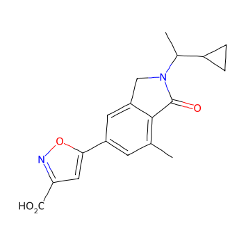 Cc1cc(-c2cc(C(=O)O)no2)cc2c1C(=O)N(C(C)C1CC1)C2